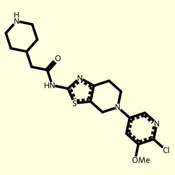 COc1cc(N2CCc3nc(NC(=O)CC4CCNCC4)sc3C2)cnc1Cl